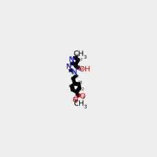 COC(=O)c1ccc(CCn2cnc3nc(C)cc-3c2O)cc1